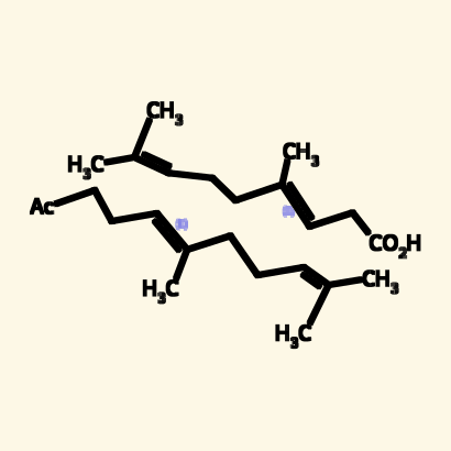 CC(=O)CC/C=C(\C)CCC=C(C)C.CC(C)=CCC/C(C)=C/CC(=O)O